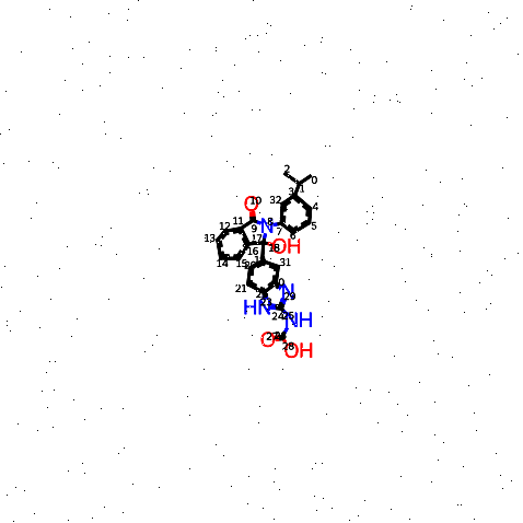 CC(C)c1cccc(N2C(=O)c3ccccc3C2(O)c2ccc3[nH]c(NC(=O)O)nc3c2)c1